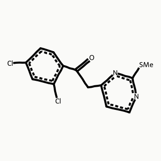 CSc1nccc(CC(=O)c2ccc(Cl)cc2Cl)n1